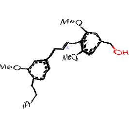 COc1cc(C/C=C/c2c(OC)cc(CO)cc2OC)ccc1CCC(C)C